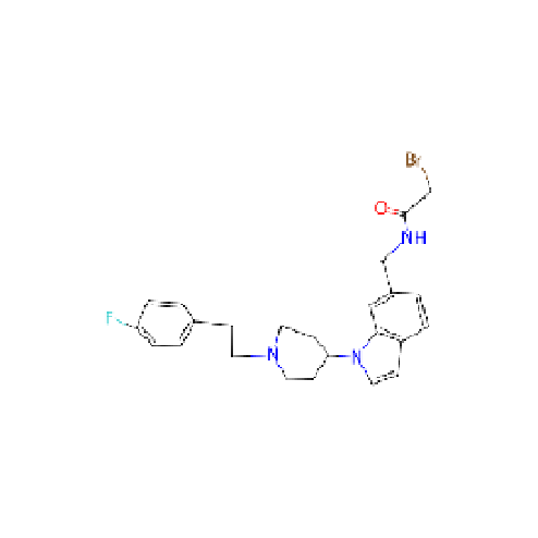 O=C(CBr)NCc1ccc2ccn(C3CCN(CCc4ccc(F)cc4)CC3)c2c1